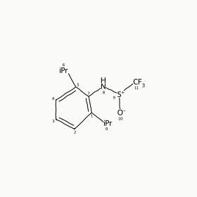 CC(C)c1cccc(C(C)C)c1N[S+]([O-])C(F)(F)F